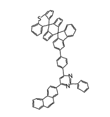 c1ccc(-c2nc(-c3ccc(-c4ccc5c(c4)-c4ccccc4C54c5ccccc5C5(c6ccccc6Sc6ccccc65)c5ccccc54)cc3)cc(-c3ccc4c(ccc5ccccc54)c3)n2)cc1